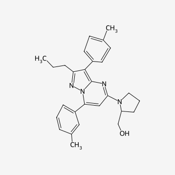 CCCc1nn2c(-c3cccc(C)c3)cc(N3CCCC3CO)nc2c1-c1ccc(C)cc1